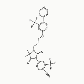 CC1(C)C(=O)N(c2ccc(C#N)c(C(F)(F)F)c2)C(=S)N1CCCOc1ccc(-c2ccncc2)c(C(F)(F)F)c1